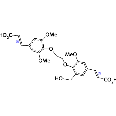 COc1cc(/C=C/C(=O)O)cc(CO)c1OCCOc1c(OC)cc(/C=C/C(=O)O)cc1OC